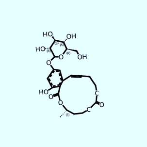 C[C@H]1CCCC(=O)CCCC=Cc2cc(OC3O[C@H](CO)[C@@H](O)[C@H](O)[C@H]3O)cc(O)c2C(=O)O1